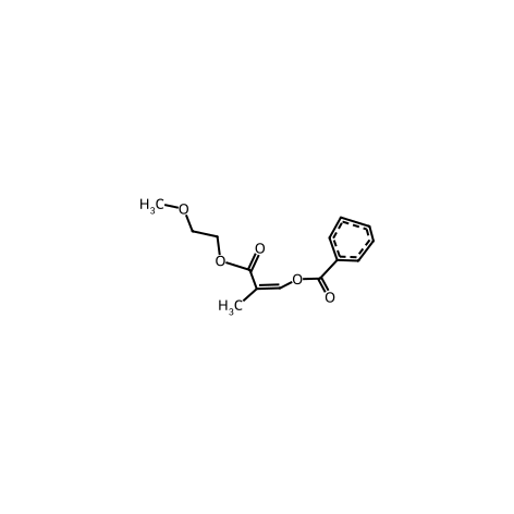 COCCOC(=O)C(C)=COC(=O)c1ccccc1